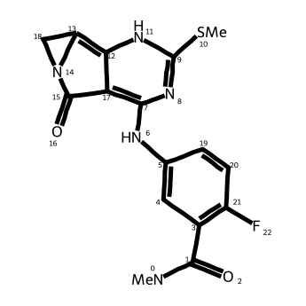 CNC(=O)c1cc(Nc2nc(SC)[nH]c3c4n(c(=O)c2-3)C4)ccc1F